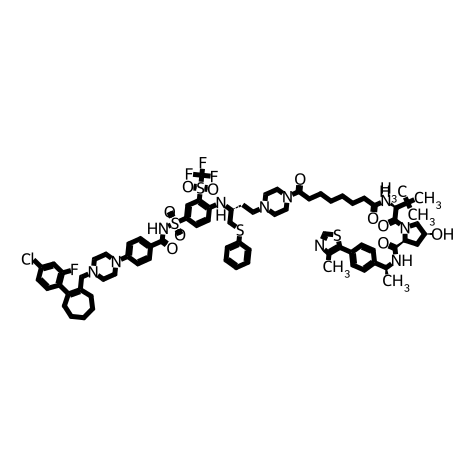 Cc1ncsc1-c1ccc([C@H](C)NC(=O)[C@@H]2C[C@@H](O)CN2C(=O)[C@@H](NC(=O)CCCCCCC(=O)N2CCN(CC[C@H](CSc3ccccc3)Nc3ccc(S(=O)(=O)NC(=O)c4ccc(N5CCN(CC6=C(c7ccc(Cl)cc7F)CCCCC6)CC5)cc4)cc3S(=O)(=O)C(F)(F)F)CC2)C(C)(C)C)cc1